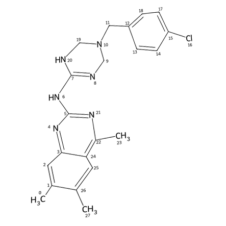 Cc1cc2nc(NC3=NCN(Cc4ccc(Cl)cc4)CN3)nc(C)c2cc1C